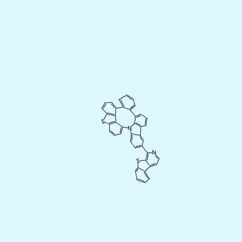 c1ccc2c(c1)sc1c(-c3ccc4c(c3)c3cccc5c6ccccc6c6cccc7sc8cccc(c8c76)n4c53)nccc12